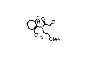 COCCN(C(=O)CCl)C1=C(C)CCCC1C